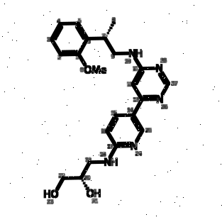 COc1ccccc1[C@H](C)CNc1cc(-c2ccc(NC[C@H](O)CO)nc2)ncn1